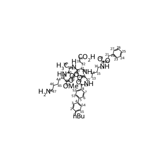 CCCCc1ccc(-c2ccc(C(=O)N[C@@H](CCCCNC(=O)OCc3ccccc3)C(=O)N[C@@H](CCC(=O)O)C(=O)N[C@@H](C)C(=O)N[C@@H](CCCCN)C(=O)OC)cc2)cc1